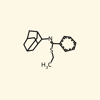 CCSC(=NC1C2CC3CC(C2)CC1C3)c1ccccc1